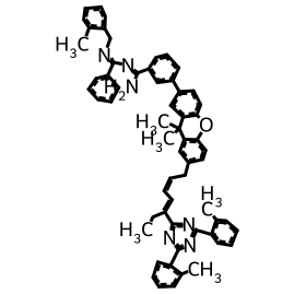 CC/C(=C\C=C/Cc1ccc2c(c1)C(C)(C)c1cc(-c3cccc(/C(N)=N/C(=N\Cc4ccccc4C)c4ccccc4)c3)ccc1O2)c1nc(-c2ccccc2C)nc(-c2ccccc2C)n1